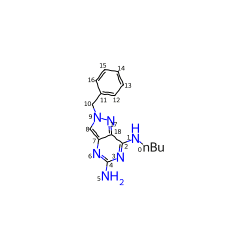 CCCCNc1nc(N)nc2cn(Cc3ccccc3)nc12